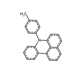 Cc1ccc(N2c3ccccc3-c3cccc4cccc2c34)cc1